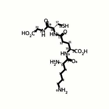 NCCCC[C@H](N)C(=O)N[C@@H](CCC(=O)N[C@@H](CS)C(=O)NCC(=O)O)C(=O)O